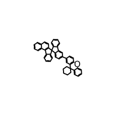 c1ccc2c(c1)Oc1ccc(-c3ccc4c(c3)-c3ccccc3C43c4ccccc4-c4c3ccc3ccccc43)cc1C21CCCCC1